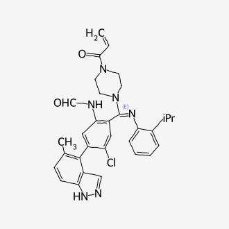 C=CC(=O)N1CCN(/C(=N/c2ccccc2C(C)C)c2cc(Cl)c(-c3c(C)ccc4[nH]ncc34)cc2NC=O)CC1